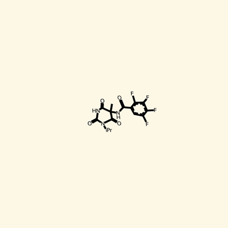 CC(C)N1C(=O)NC(=O)C(C)(NC(=O)c2cc(F)c(F)c(F)c2F)C1=O